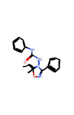 CCC1(C)ON=C(c2ccccc2)N1NC(=O)Nc1ccccc1